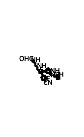 N#Cc1ccc(-c2cc(CC(N)CCCNC=O)sc2C2=C/C(=C/NCC3(O)CCC3)C(=N)C=C2)cc1F